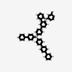 Cc1cccc(-n2c3ccccc3c3cc(-c4ccc(N(c5ccc(-c6ccccc6)cc5)c5ccc(-c6ccc(-c7ccccc7)cc6)cc5)cc4)ccc32)c1